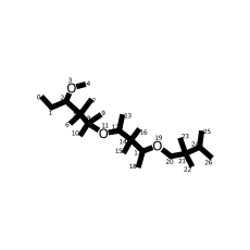 CCC(OC)C(C)(C)C(C)(C)OC(C)C(C)(C)C(C)OCC(C)(C)C(C)C